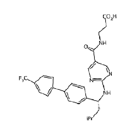 CC(C)C[C@@H](Nc1ncc(C(=O)NCCC(=O)O)cn1)c1ccc(-c2ccc(C(F)(F)F)cc2)cc1